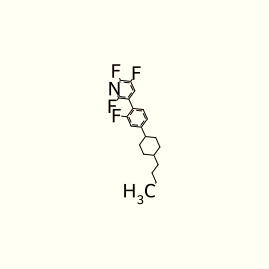 CCCCC1CCC(c2ccc(-c3cc(F)c(F)nc3F)c(F)c2)CC1